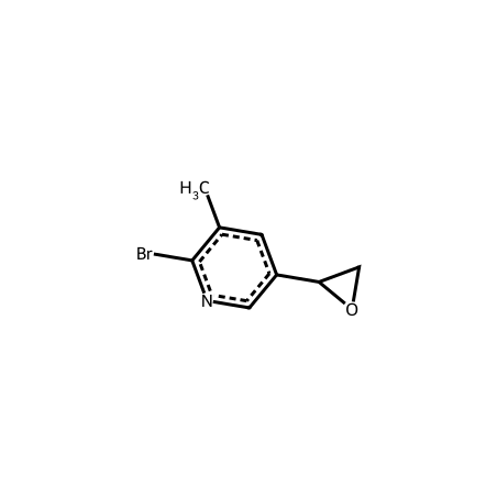 Cc1cc(C2CO2)cnc1Br